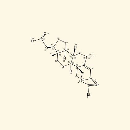 CCC(=O)OC[C@]12CCC(=O)C=C1[C@@H](C)C[C@@H]1[C@@H]2CC[C@]2(C)[C@@H](OC(=O)CC)CC[C@@H]12